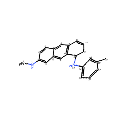 CCCNc1ccc2cc3c(cc2c1)C(Nc1cccc(C)c1)CC=C3